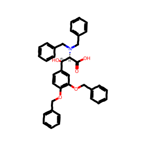 O=C(O)[C@H]([C@H](O)c1ccc(OCc2ccccc2)c(OCc2ccccc2)c1)N(Cc1ccccc1)Cc1ccccc1